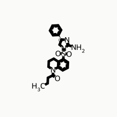 CCCC(=O)N1CCCc2c1cccc2S(=O)(=O)N1C[C@H](c2ccccc2)N=C1N